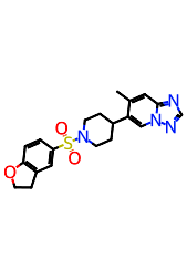 Cc1cc2ncnn2cc1C1CCN(S(=O)(=O)c2ccc3c(c2)CCO3)CC1